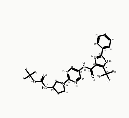 CC(C)(C)OC(=O)N[C@@H]1CCN(c2ncc(NC(=O)c3nc(-c4ccccc4)oc3C(F)(F)F)cn2)C1